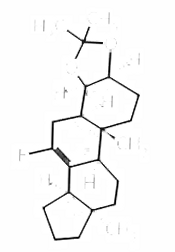 CC1(C)O[C@H]2[C@H](CC[C@]3(C)[C@H]4CC[C@@]5(C)CCC[C@H]5C4=C(F)C[C@@H]23)O1